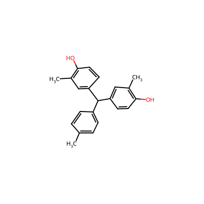 Cc1ccc(C(c2ccc(O)c(C)c2)c2ccc(O)c(C)c2)cc1